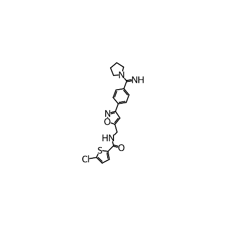 N=C(c1ccc(-c2cc(CNC(=O)c3ccc(Cl)s3)on2)cc1)N1CCCC1